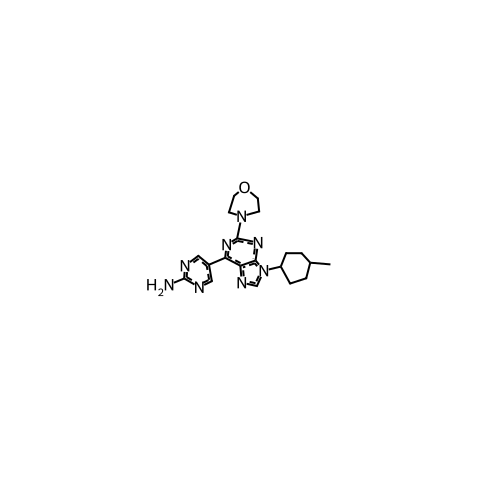 CC1CCC(n2cnc3c(-c4cnc(N)nc4)nc(N4CCOCC4)nc32)CC1